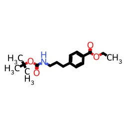 CCOC(=O)c1ccc(CCCNC(=O)OC(C)(C)C)cc1